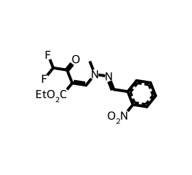 CCOC(=O)C(=CN(C)N=Cc1ccccc1[N+](=O)[O-])C(=O)C(F)F